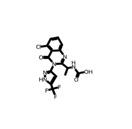 CC(NC(=O)O)c1nc2cccc(Cl)c2c(=O)n1-c1cc(C(F)(F)F)[nH]n1